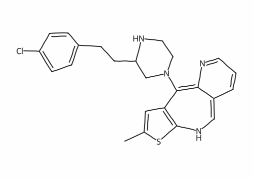 Cc1cc2c(s1)NC=c1cccnc1=C2N1CCNC(CCc2ccc(Cl)cc2)C1